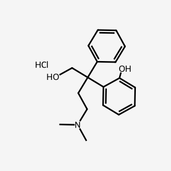 CN(C)CCC(CO)(c1ccccc1)c1ccccc1O.Cl